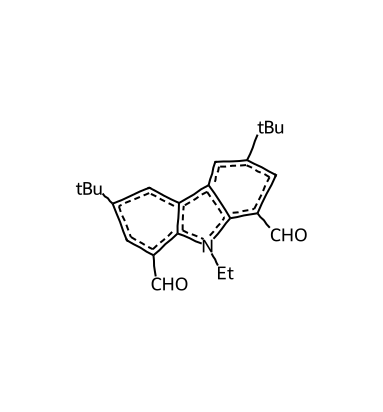 CCn1c2c(C=O)cc(C(C)(C)C)cc2c2cc(C(C)(C)C)cc(C=O)c21